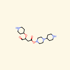 O=CC(CC(=O)ON1CCN(C2CCNCC2)CC1)OC1CCNCC1